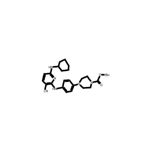 CC(C)(C)OC(=O)N1CCN(c2ccc(Nc3nc(NC4CCCCC4)ccc3C#N)cc2)CC1